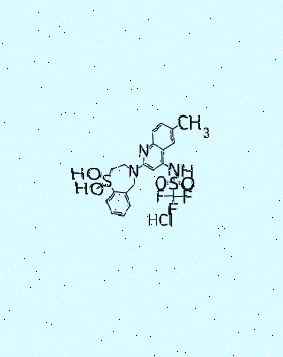 Cc1ccc2nc(N3CCS(O)(O)c4ccccc4C3)cc(NS(=O)(=O)C(F)(F)F)c2c1.Cl